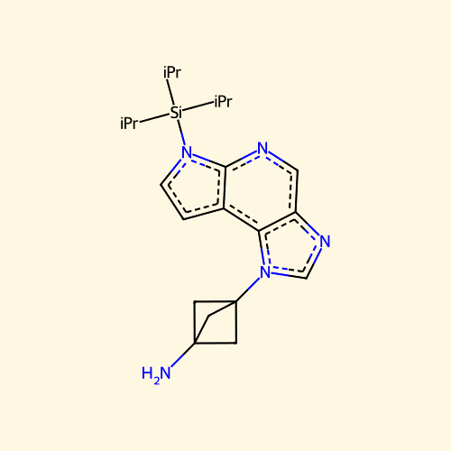 CC(C)[Si](C(C)C)(C(C)C)n1ccc2c3c(cnc21)ncn3C12CC(N)(C1)C2